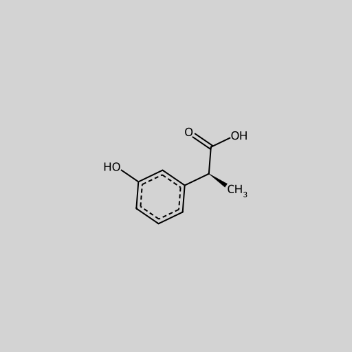 C[C@H](C(=O)O)c1cccc(O)c1